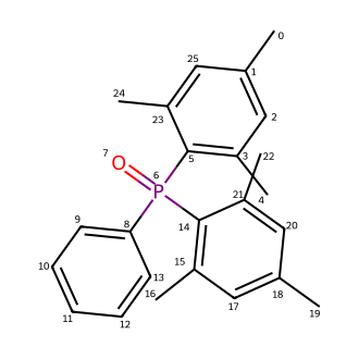 Cc1cc(C)c(P(=O)(c2ccccc2)c2c(C)cc(C)cc2C)c(C)c1